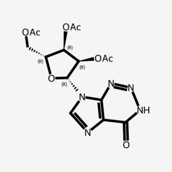 CC(=O)OC[C@H]1O[C@@H](n2cnc3c(=O)[nH]nnc32)[C@H](OC(C)=O)[C@@H]1OC(C)=O